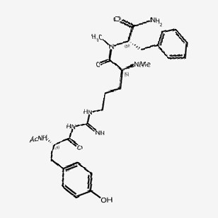 CN[C@@H](CCCNC(=N)NC(=O)[C@H](Cc1ccc(O)cc1)NC(C)=O)C(=O)N(C)[C@@H](Cc1ccccc1)C(N)=O